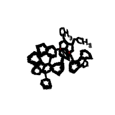 CCC1CC(c2cccc3oc4ccccc4c23)/N=C(/c2cc(-c3ccc(-c4ccccc4)c4oc5ccccc5c34)c3ccccc3c2)C/C(C)=C/1c1ccc(-c2ccccc2)cc1